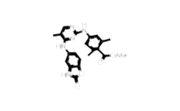 COC(=O)c1c(C)cc(Nc2ncc(C)c(Nc3ccc4oc(=O)[nH]c4c3)n2)cc1C